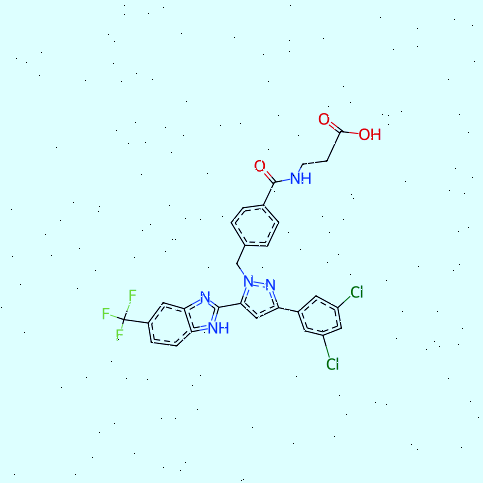 O=C(O)CCNC(=O)c1ccc(Cn2nc(-c3cc(Cl)cc(Cl)c3)cc2-c2nc3cc(C(F)(F)F)ccc3[nH]2)cc1